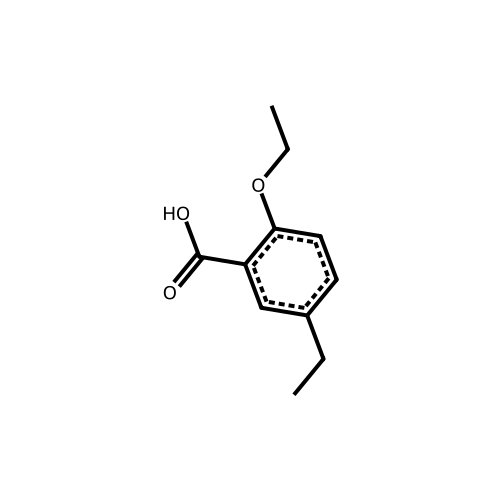 CCOc1ccc(CC)cc1C(=O)O